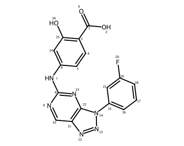 O=C(O)c1ccc(Nc2ncc3nnn(-c4cccc(F)c4)c3n2)cc1O